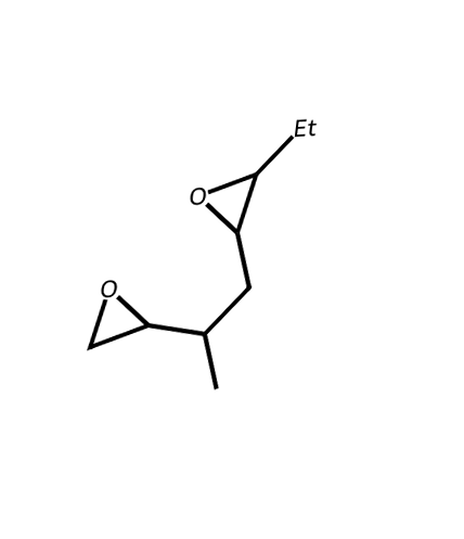 CCC1OC1CC(C)C1CO1